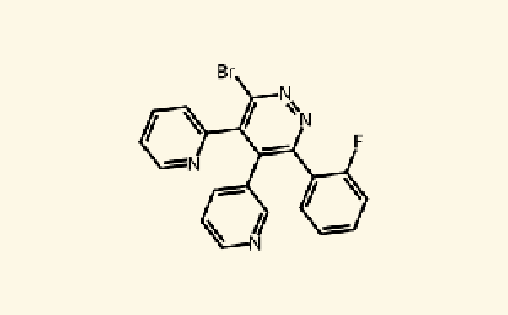 Fc1ccccc1-c1nnc(Br)c(-c2ccccn2)c1-c1cccnc1